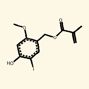 C=C(C)C(=O)OCc1cc(I)c(O)cc1OC